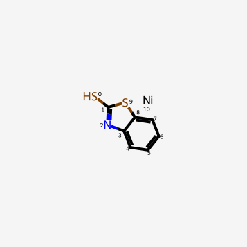 Sc1nc2ccccc2s1.[Ni]